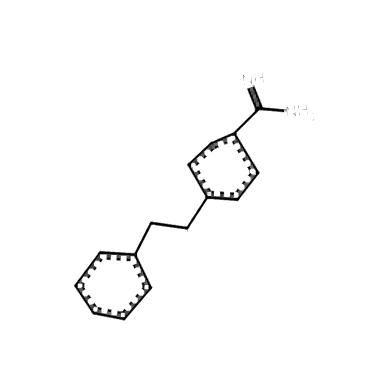 N=C(N)c1ccc([CH]Cc2ccccc2)cc1